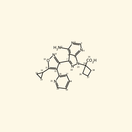 Nc1ncnc2c1c(-c1noc(C3CC3)c1-c1ccccn1)nn2C1(C(=O)O)CCC1